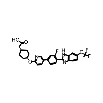 O=C(O)C[C@H]1CC[C@@H](Oc2ccc(-c3ccc(-c4nc5ccc(OC(F)(F)F)cc5[nH]4)c(F)c3)cn2)CC1